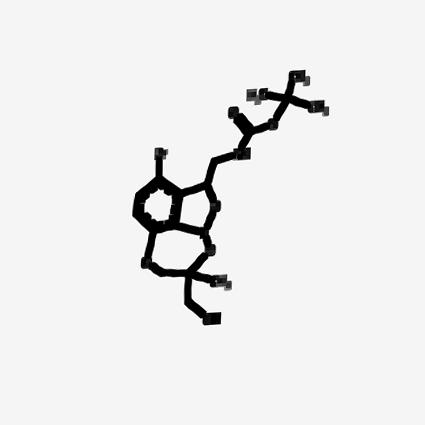 CC(C)(C)OC(=O)NCC1OB2OC(C)(CO)COc3ccc(Br)c1c32